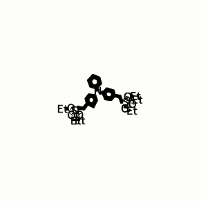 CCO[Si](CCc1ccc(N(c2ccccc2)c2ccc(CC[Si](OCC)(OCC)OCC)cc2)cc1)(OCC)OCC